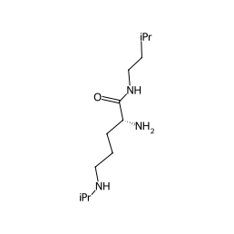 CC(C)CCNC(=O)[C@H](N)CCCNC(C)C